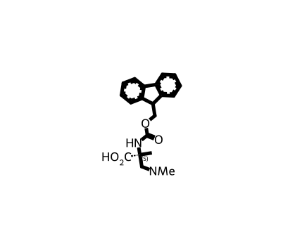 CNC[C@](C)(NC(=O)OCC1c2ccccc2-c2ccccc21)C(=O)O